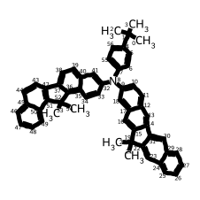 CC(C)(C)c1ccc(N(c2ccc3cc4c(cc3c2)C(C)(C)c2cc3ccccc3cc2-4)c2ccc3c4c(ccc3c2)-c2ccc3ccccc3c2C4(C)C)cc1